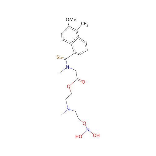 COc1ccc2c(C(=S)N(C)CC(=O)OCCN(C)CCON(O)O)cccc2c1C(F)(F)F